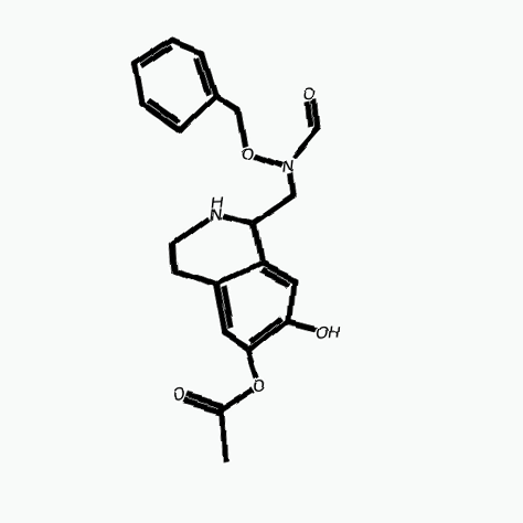 CC(=O)Oc1cc2c(cc1O)C(CN(C=O)OCc1ccccc1)NCC2